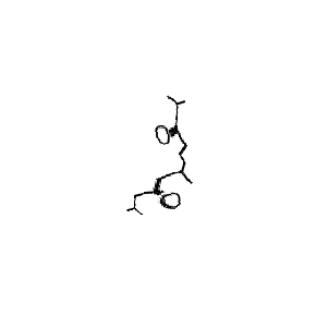 CC(C)CC(=O)CC(C)C/C=C/C(=O)C(C)C